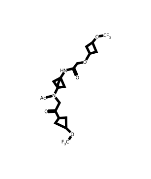 CC(=O)N(CC(=O)C1CC(OC(F)(F)F)C1)C12CC(NC(=O)COC3CC(OC(F)(F)F)C3)(C1)C2